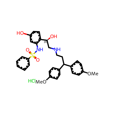 COc1ccc(C(CCNC[C@H](O)c2ccc(O)cc2NS(=O)(=O)c2ccccc2)c2ccc(OC)cc2)cc1.Cl